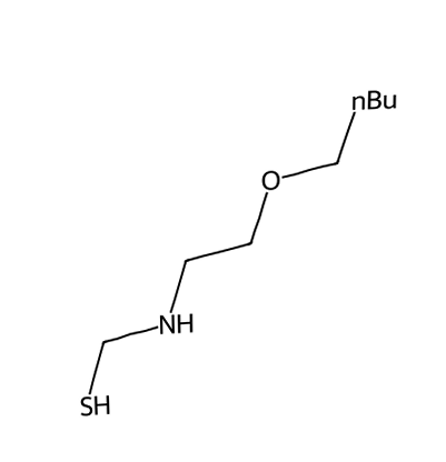 CCCCCOCCNCS